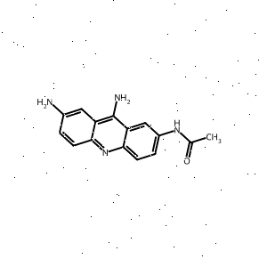 CC(=O)Nc1ccc2nc3ccc(N)cc3c(N)c2c1